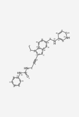 CCn1c(C#CCNC(=O)Nc2ccccc2)cc2cc(CNC3=CNOC=C3)ccc21